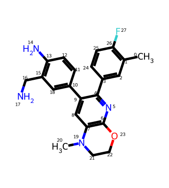 Cc1cc(-c2nc3c(cc2-c2ccc(N)c(CN)c2)N(C)CCO3)ccc1F